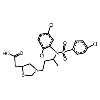 CC(CCN1CSC(CC(=O)O)C1)N(c1cc(Cl)ccc1Cl)S(=O)(=O)c1ccc(Cl)cc1